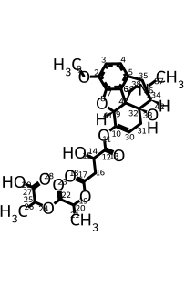 COc1ccc2c3c1O[C@H]1C(OC(=O)C(O)CC(=O)OC(C)C(=O)OC(C)C(=O)O)=CC[C@@]4(O)[C@@H](C2)N(C)CC[C@]314